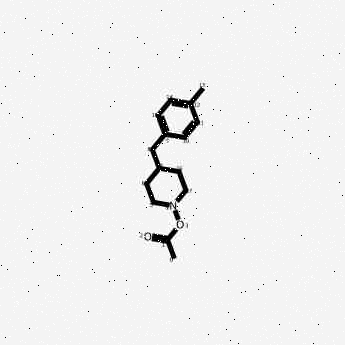 CC(=O)ON1CCC(Cc2ccc(C)cc2)CC1